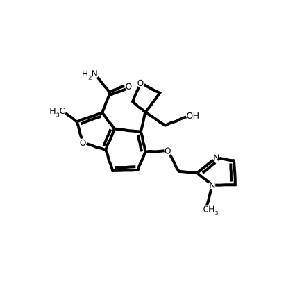 Cc1oc2ccc(OCc3nccn3C)c(C3(CO)COC3)c2c1C(N)=O